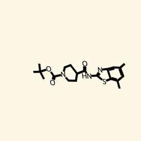 Cc1cc(C)c2sc(NC(=O)C3CCN(C(=O)OC(C)(C)C)CC3)nc2c1